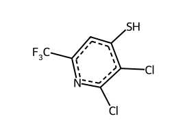 FC(F)(F)c1cc(S)c(Cl)c(Cl)n1